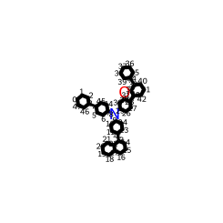 c1ccc(-c2ccc(N(c3ccc(-c4cccc5ccccc45)cc3)c3ccc4c(c3)oc3c(-c5ccccc5)cccc34)cc2)cc1